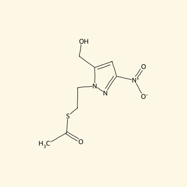 CC(=O)SCCn1nc([N+](=O)[O-])cc1CO